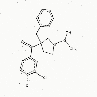 CB(O)N1CCC(Cc2ccccc2)(C(=O)c2ccc(Cl)c(Cl)c2)C1